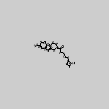 O=C(CCOCC1CCN1)N1CCn2c(nc3cc(Br)cnc32)C1